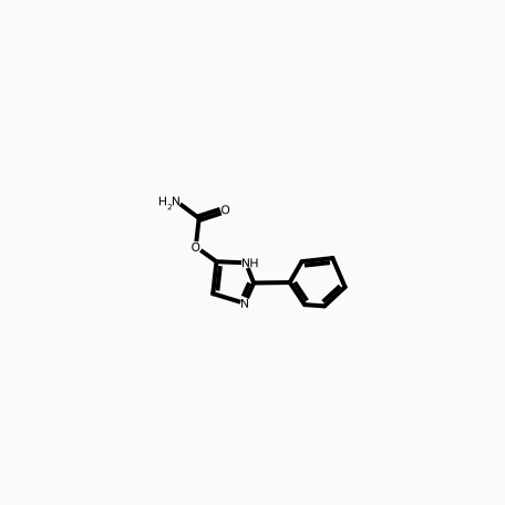 NC(=O)Oc1cnc(-c2ccccc2)[nH]1